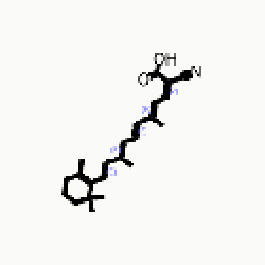 CC1=C(/C=C/C(C)=C/C=C/C(C)=C/C=C(/C#N)C(=O)O)C(C)(C)CCC1